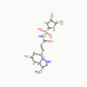 Cc1c[nH]c2c(/C=C/C(=O)NS(=O)(=O)c3cc(Cl)c(Cl)s3)cc(F)cc12